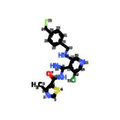 Cc1ncsc1C(=O)NC(=N)c1c(Cl)cncc1NCc1ccc(CF)cc1